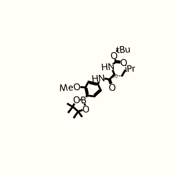 COc1cc(NC(=O)[C@@H](CC(C)C)NC(=O)OC(C)(C)C)ccc1B1OC(C)(C)C(C)(C)O1